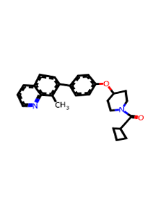 Cc1c(-c2ccc(OC3CCN(C(=O)C4CCC4)CC3)cc2)ccc2cccnc12